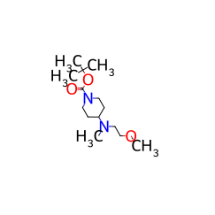 COCCN(C)C1CCN(C(=O)OC(C)(C)C)CC1